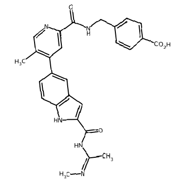 C/N=C(/C)NC(=O)c1cc2cc(-c3cc(C(=O)NCc4ccc(C(=O)O)cc4)ncc3C)ccc2[nH]1